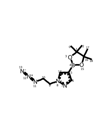 CC1(C)OB(c2cnn(CCN=[N+]=[N-])c2)OC1(C)C